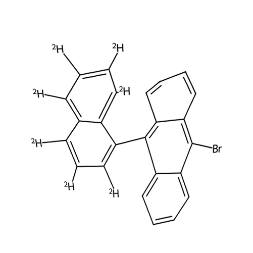 [2H]c1c([2H])c([2H])c2c(-c3c4ccccc4c(Br)c4ccccc34)c([2H])c([2H])c([2H])c2c1[2H]